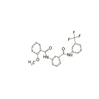 COc1ccccc1C(=O)Nc1cccc(C(=O)Nc2cccc(C(F)(F)F)c2)c1